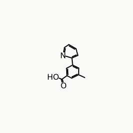 Cc1cc(C(=O)O)cc(-c2ccccn2)c1